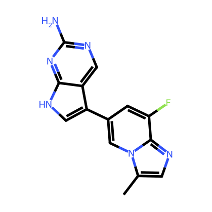 Cc1cnc2c(F)cc(-c3c[nH]c4nc(N)ncc34)cn12